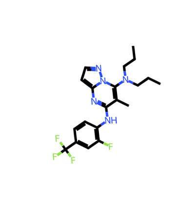 CCCN(CCC)c1c(C)c(Nc2ccc(C(F)(F)F)cc2F)nc2ccnn12